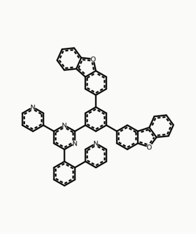 c1cncc(-c2cc(-c3ccccc3-c3cccnc3)nc(-c3cc(-c4ccc5oc6ccccc6c5c4)cc(-c4ccc5oc6ccccc6c5c4)c3)n2)c1